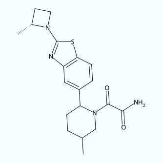 CC1CCC(c2ccc3sc(N4CC[C@H]4C)nc3c2)N(C(=O)C(N)=O)C1